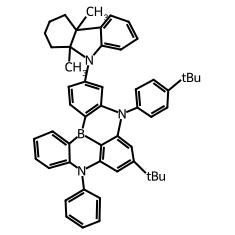 CC(C)(C)c1ccc(N2c3cc(N4c5ccccc5C5(C)CCCCC45C)ccc3B3c4ccccc4N(c4ccccc4)c4cc(C(C)(C)C)cc2c43)cc1